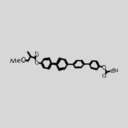 C=C(COC)C(=O)Oc1ccc(-c2ccc(-c3ccc(-c4ccc(OC(=O)C(C)(C)C)cc4)cc3)cc2)cc1